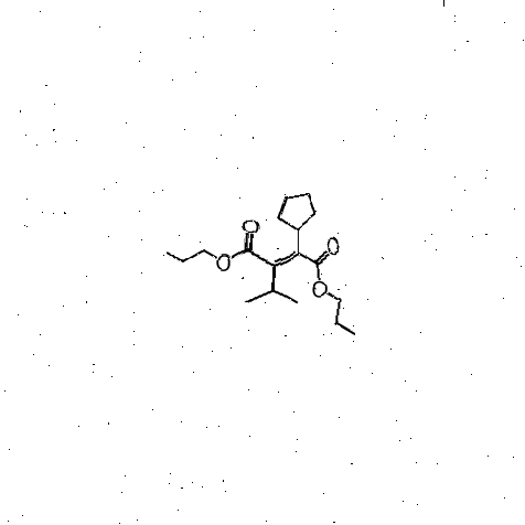 CCCOC(=O)C(=C(C(=O)OCCC)C1CCCC1)C(C)C